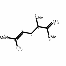 C=C(NC)C(CC=C(C)NC)NC